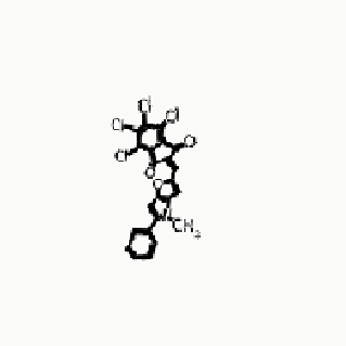 Cn1c(-c2ccccc2)cc2oc(C=C3C(=O)c4c(Cl)c(Cl)c(Cl)c(Cl)c4C3=O)cc21